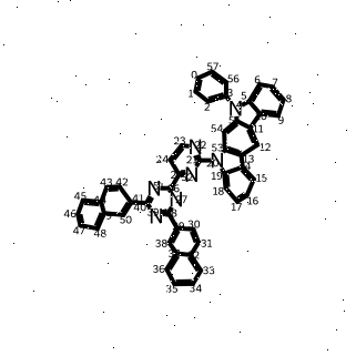 c1ccc(-n2c3ccccc3c3cc4c5ccccc5n(-c5nccc(-c6nc(-c7ccc8ccccc8c7)nc(-c7ccc8ccccc8c7)n6)n5)c4cc32)cc1